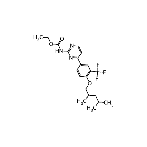 CCOC(=O)Nc1nccc(-c2ccc(OC[C@H](C)CC(C)C)c(C(F)(F)F)c2)n1